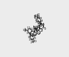 Cc1cc(C(=O)N(N)C(=O)c2ccc(I)cc2N2CCC3(CC2)CC3)cc(N2CCC(F)(F)CC2)n1